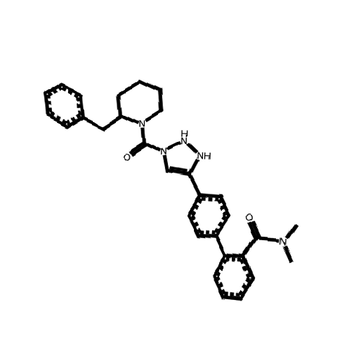 CN(C)C(=O)c1ccccc1-c1ccc(C2=CN(C(=O)N3CCCCC3Cc3ccccc3)NN2)cc1